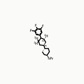 [2H][C@@H]1C[C@@H]([C@H]2CC[C@H](CCC)CC2)CC([2H])([2H])C1c1cc(F)c(F)c(F)c1